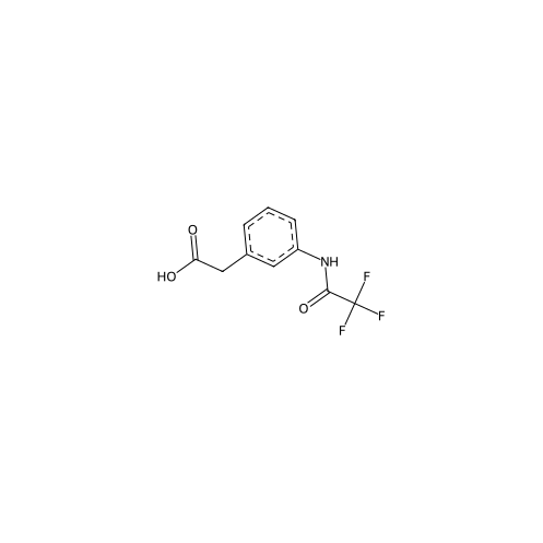 O=C(O)Cc1cccc(NC(=O)C(F)(F)F)c1